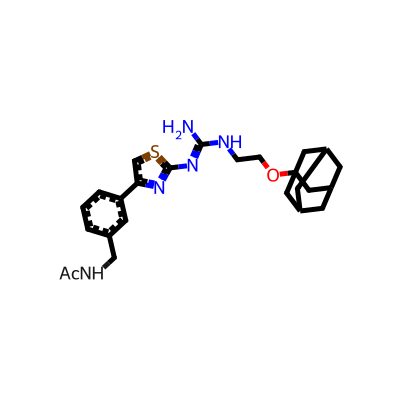 CC(=O)NCc1cccc(-c2csc(N=C(N)NCCOC34CC5CC(CC(C5)C3)C4)n2)c1